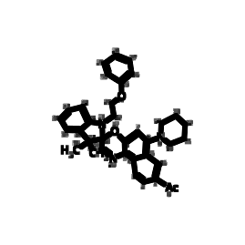 CC(=O)c1ccc2c3c(cc(N4CCCCC4)c2c1)OC1(C=N3)N(CCOc2ccccc2)c2ccccc2C1(C)C